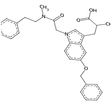 CC(Cc1cn(CC(=O)N(C)CCc2ccccc2)c2ccc(OCc3ccccc3)cc12)C(=O)O